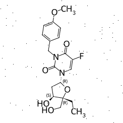 CC[C@]1(CO)O[C@@H](n2cc(F)c(=O)n(Cc3ccc(OC)cc3)c2=O)C[C@@H]1O